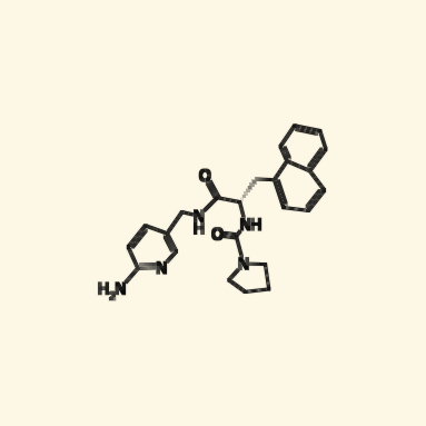 Nc1ccc(CNC(=O)[C@H](Cc2cccc3ccccc23)NC(=O)N2CCCC2)cn1